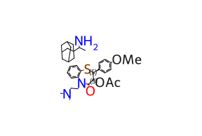 CC(N)C12CC3CC(CC(C3)C1)C2.COc1ccc([C@@H]2Sc3ccccc3N(CCN(C)C)C(=O)[C@@H]2OC(C)=O)cc1